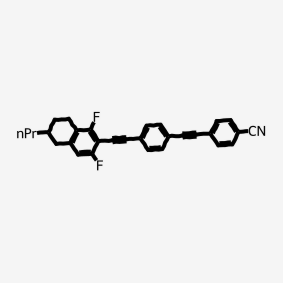 CCCC1CCc2c(cc(F)c(C#Cc3ccc(C#Cc4ccc(C#N)cc4)cc3)c2F)C1